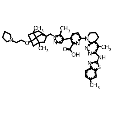 Cc1ccc2nc(Nc3nnc4c(c3C)CCCN4c3ccc(-c4cnn(CC56CC7(C)CC8(OCCN9CCCC9)CC(C)(C5)C78C6)c4C)c(C(=O)O)n3)sc2c1